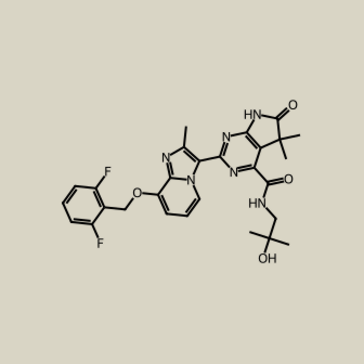 Cc1nc2c(OCc3c(F)cccc3F)cccn2c1-c1nc2c(c(C(=O)NCC(C)(C)O)n1)C(C)(C)C(=O)N2